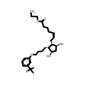 CCCOC(=O)CCC/C=C\C[C@@H]1[C@@H](CCCCOc2cccc(C(F)(F)F)c2)[C@H](O)C[C@@H]1O